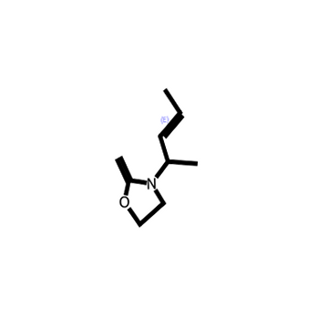 C=C1OCCN1C(C)/C=C/C